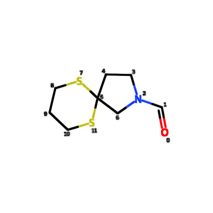 O=CN1CCC2(C1)SCCCS2